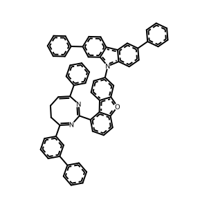 C1=C(c2ccccc2)/N=C(c2cccc3oc4cc(-n5c6ccc(-c7ccccc7)cc6c6ccc(-c7ccccc7)cc65)ccc4c23)\N=C(\c2cccc(-c3ccccc3)c2)CC\1